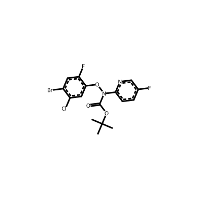 CC(C)(C)OC(=O)N(Oc1cc(Cl)c(Br)cc1F)c1ccc(F)cn1